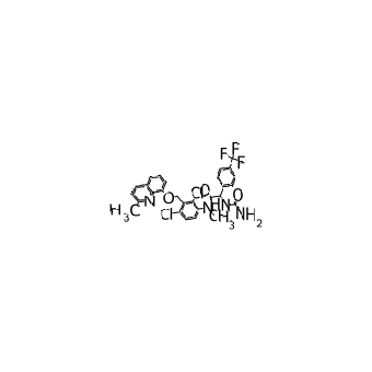 Cc1ccc2cccc(OCc3c(Cl)ccc(N(C)C(=O)C(NC(N)=O)c4ccc(C(F)(F)F)cc4)c3Cl)c2n1